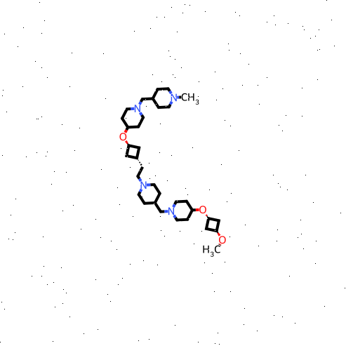 CO[C@H]1C[C@H](OC2CCN(CC3CCN(CC[C@H]4C[C@H](OC5CCN(CC6CCN(C)CC6)CC5)C4)CC3)CC2)C1